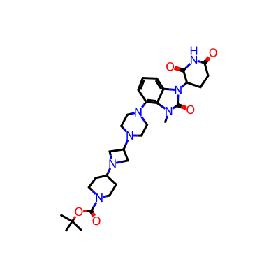 Cn1c(=O)n(C2CCC(=O)NC2=O)c2cccc(N3CCN(C4CN(C5CCN(C(=O)OC(C)(C)C)CC5)C4)CC3)c21